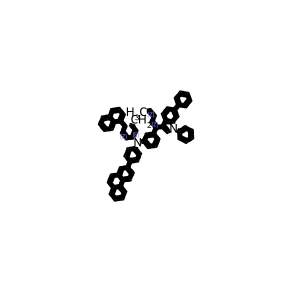 C=C/C=C(\C=C/Cc1cccc2ccccc12)N(c1ccc(-c2ccc3c(ccc4ccccc43)c2)cc1)c1cccc(/C(=C/C=C\C)c2cn(-c3ccccc3)c3cc(-c4ccccc4)ccc23)c1